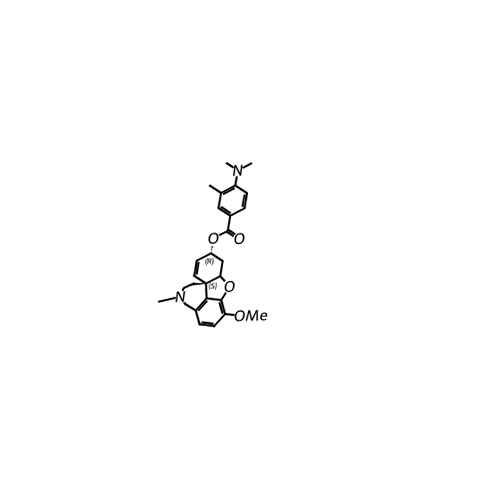 COc1ccc2c3c1OC1C[C@@H](OC(=O)c4ccc(N(C)C)c(C)c4)C=C[C@@]31CCN(C)C2